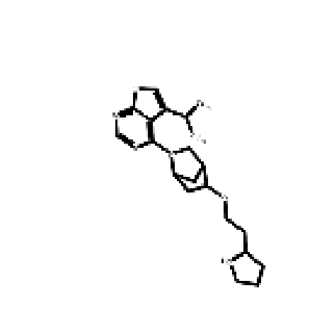 CC(C)c1csc2ncnc(N3CC4CC3CC4OCCC3CCCN3)c12